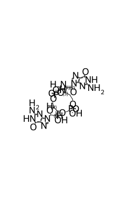 Nc1nc2c(ncn2C2O[C@@H]3COP(=O)(O)O[C@@H]4C(COP(=O)(O)CO[C@H]3[C@H]2O)O[C@@H](n2cnc3c(=O)[nH]c(N)nc32)[C@@H]4N)c(=O)[nH]1